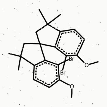 COc1ccc2c(c1Br)C1(CC2(C)C)CC(C)(C)c2ccc(OC)c(Br)c21